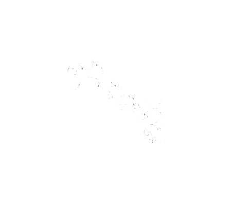 CCOC(=O)c1nc(Sc2ccnc(N)c2Cl)ncc1N1CCC2(CC1)CO[C@@H](C)[C@H]2NC(=O)OC(C)(C)C